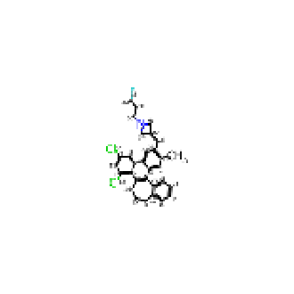 Cc1cc(C2=C(c3ccc(Cl)cc3Cl)CCCc3ccccc32)ccc1CC1CN(CCCF)C1